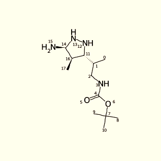 CC(CNC(=O)OC(C)(C)C)[C@H]1NN[C@H](N)[C@@H]1C